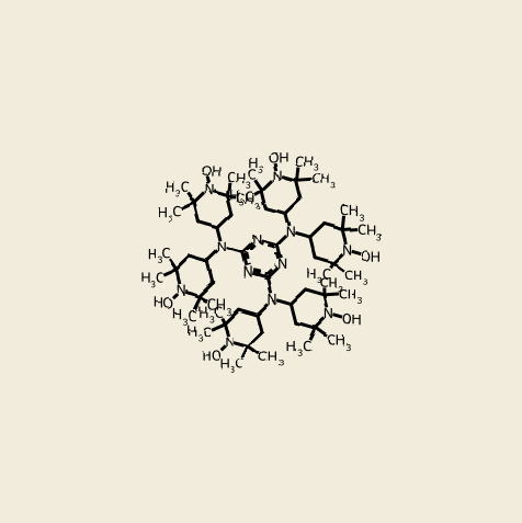 CC1(C)CC(N(c2nc(N(C3CC(C)(C)N(O)C(C)(C)C3)C3CC(C)(C)N(O)C(C)(C)C3)nc(N(C3CC(C)(C)N(O)C(C)(C)C3)C3CC(C)(C)N(O)C(C)(C)C3)n2)C2CC(C)(C)N(O)C(C)(C)C2)CC(C)(C)N1O